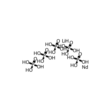 O=P(O)(O)O.O=P(O)(O)O.O=P(O)(O)O.O=P(O)(O)O.O=P(O)(O)O.[LiH].[Nd]